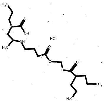 CCCC(CC(C)NCCCC(=O)OCOC(=O)C(CCC)CCC)C(=O)O.Cl